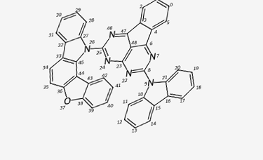 c1ccc2c(c1)-c1nc(-n3c4ccccc4c4ccccc43)nc3nc(-n4c5ccccc5c5ccc6oc7ccccc7c6c54)nc-2c13